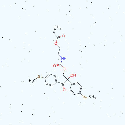 C=CC(=O)OCCNC(=O)OCC(O)(C(=O)c1ccc(SC)cc1)c1ccc(SC)cc1